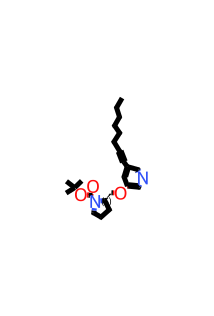 CCCCCCC#Cc1cncc(OC[C@@H]2CCCN2C(=O)OC(C)(C)C)c1